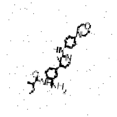 CCC(C)C(=O)Nc1ccc(-c2ccnc(Nc3ccc(N4CCOCC4)cc3)n2)cc1N